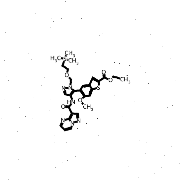 CCOC(=O)c1cc2cc(-c3c(NC(=O)c4cnn5cccnc45)cnn3COCC[Si](C)(C)C)c(OC)cc2s1